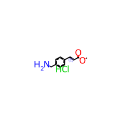 COC(=O)/C=C/c1ccc(CN)cc1.Cl